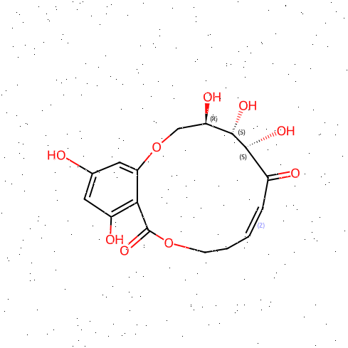 O=C1OCC/C=C\C(=O)[C@@H](O)[C@@H](O)[C@H](O)COc2cc(O)cc(O)c21